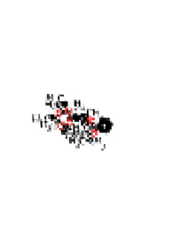 C=C[Si]1(C)O[Si](C)(CC)O[Si](C)(C=C)O[Si](C)(CC[Si](C)(C)O[Si](C)(O[Si](C)(C)C)c2ccccc2)O1